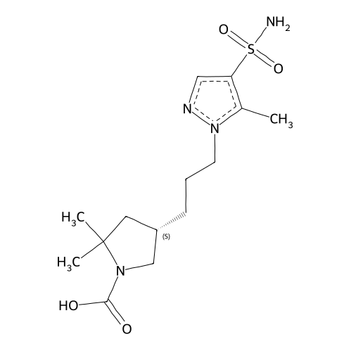 Cc1c(S(N)(=O)=O)cnn1CCC[C@@H]1CN(C(=O)O)C(C)(C)C1